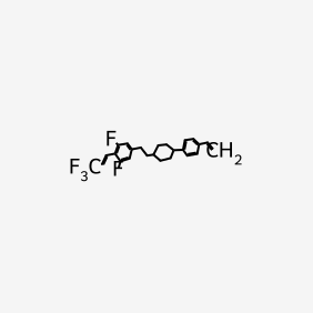 C=Cc1ccc(C2CCC(CCc3cc(F)c(/C=C/C(F)(F)F)c(F)c3)CC2)cc1